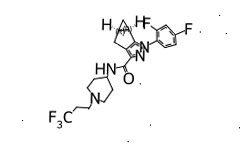 O=C(NC1CCN(CCC(F)(F)F)CC1)c1nn(-c2ccc(F)cc2F)c2c1C[C@H]1C[C@@H]21